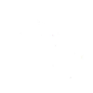 Oc1ccc(OC2CCC3CCCC3O2)cc1F